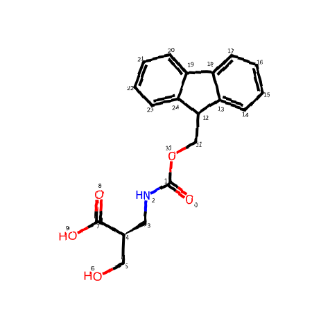 O=C(NC[C@@H](CO)C(=O)O)OCC1c2ccccc2-c2ccccc21